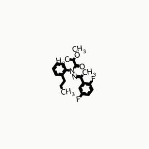 CCCc1ccccc1N(/N=C(\C)c1cc(F)ccc1F)C(=O)C(C)OC